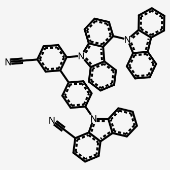 N#Cc1ccc(-n2c3ccccc3c3c(-n4c5ccccc5c5ccccc54)cccc32)c(-c2ccc(-n3c4ccccc4c4cccc(C#N)c43)cc2)c1